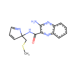 CSCC1(NC(=O)c2nc3ccccc3nc2N)C=CC=N1